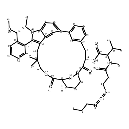 CCCN=C=NCCC(=O)N(C)C(C(=O)N[C@H]1Cc2cccc(c2)-c2ccc3c(c2)c(c(-c2cnccc2COC)n3CC)CC(C)(C)COC(=O)[C@@H]2CCCN(N2)C1=O)C(C)C